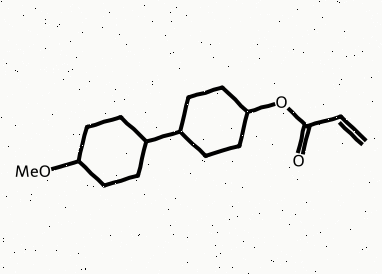 C=CC(=O)OC1CCC(C2CCC(OC)CC2)CC1